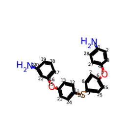 Nc1ccc(Oc2ccc(Sc3ccc(Oc4cccc(N)c4)cc3)cc2)cc1